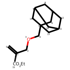 C=C(COCC12CC3CC(CC(C3)C1)C2)C(=O)OCC